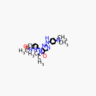 CC(C)n1c(=O)c2cnc(Nc3ccc(N(C)C)cc3)nc2n1-c1cccc(N=S(C)(C)=O)n1